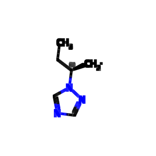 [CH2][C@H](CC)n1cncn1